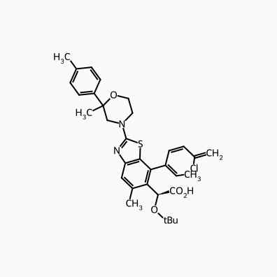 C=C(Cl)/C=C\C(=C/C)c1c([C@H](OC(C)(C)C)C(=O)O)c(C)cc2nc(N3CCOC(C)(c4ccc(C)cc4)C3)sc12